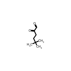 CC(C)(C)CCC(=O)C=O